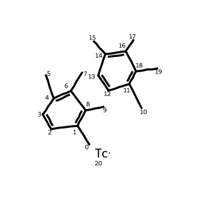 Cc1ccc(C)c(C)c1C.Cc1ccc(C)c(C)c1C.[Tc]